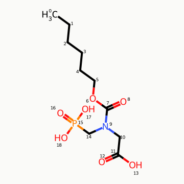 CCCCCCOC(=O)N(CC(=O)O)CP(=O)(O)O